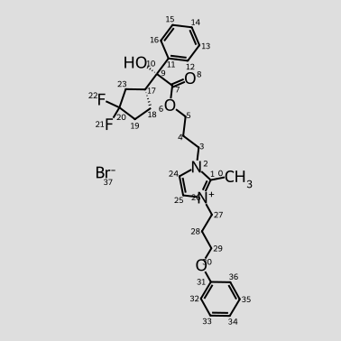 Cc1n(CCCOC(=O)[C@](O)(c2ccccc2)[C@@H]2CCC(F)(F)C2)cc[n+]1CCCOc1ccccc1.[Br-]